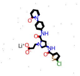 O=C([O-])CCN1CC(NC(=O)c2ccc(Cl)s2)CC1C(=O)Nc1ccc(-n2ccccc2=O)cc1.[Li+]